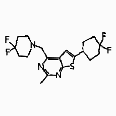 Cc1nc(CN2CCC(F)(F)CC2)c2cc(C3CCC(F)(F)CC3)sc2n1